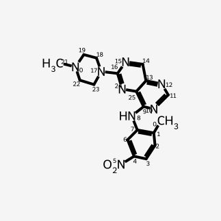 Cc1ccc([N+](=O)[O-])cc1Nc1ncnc2cnc(N3CCN(C)CC3)nc12